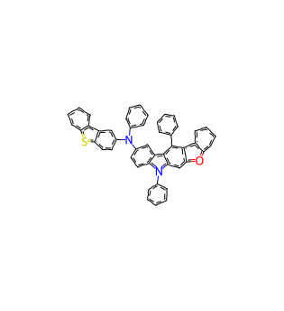 c1ccc(-c2c3c(cc4c2c2cc(N(c5ccccc5)c5ccc6sc7ccccc7c6c5)ccc2n4-c2ccccc2)oc2ccccc23)cc1